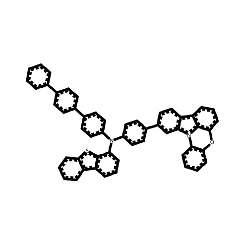 c1ccc(-c2ccc(-c3ccc(N(c4ccc(-c5ccc6c7cccc8c7n(c6c5)-c5ccccc5O8)cc4)c4cccc5c4sc4ccccc45)cc3)cc2)cc1